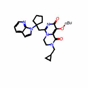 CCCCOc1c2n(c(CC3(n4ccc5cccnc54)CCCC3)nc1=O)CCN(CC1CC1)C2=O